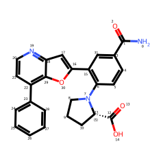 NC(=O)c1ccc(N2CCC[C@H]2C(=O)O)c(-c2cc3nccc(-c4ccccc4)c3o2)c1